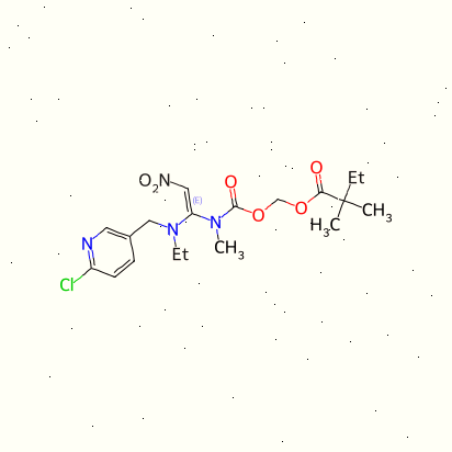 CCN(Cc1ccc(Cl)nc1)/C(=C\[N+](=O)[O-])N(C)C(=O)OCOC(=O)C(C)(C)CC